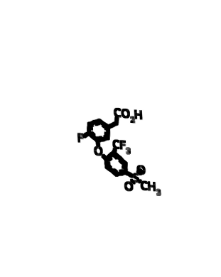 CS(=O)(=O)c1ccc(Oc2cc(CC(=O)O)ccc2F)c(C(F)(F)F)c1